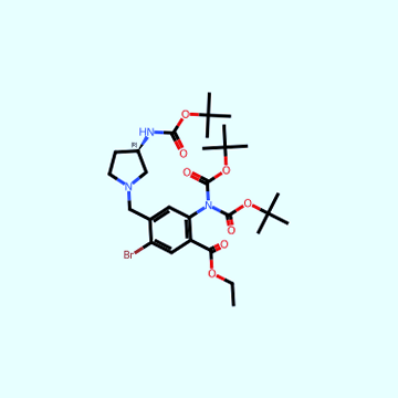 CCOC(=O)c1cc(Br)c(CN2CC[C@@H](NC(=O)OC(C)(C)C)C2)cc1N(C(=O)OC(C)(C)C)C(=O)OC(C)(C)C